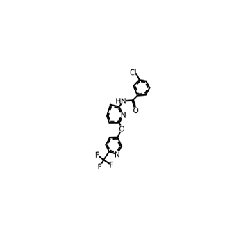 O=C(Nc1cccc(Oc2ccc(C(F)(F)F)nc2)n1)c1cccc(Cl)c1